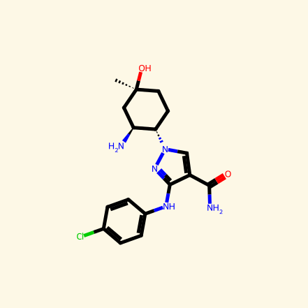 C[C@]1(O)CC[C@H](n2cc(C(N)=O)c(Nc3ccc(Cl)cc3)n2)[C@@H](N)C1